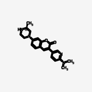 C[C@H]1CN(c2ccc3cc(-c4ccc(N(C)C)nc4)c(=O)oc3c2)CCN1